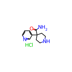 Cl.NC(=O)C1(c2cccnc2)CCNCC1